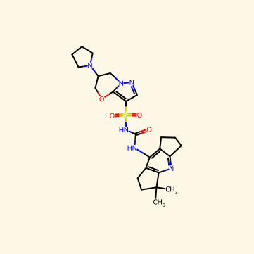 CC1(C)CCc2c1nc1c(c2NC(=O)NS(=O)(=O)c2cnn3c2OCC(N2CCCC2)C3)CCC1